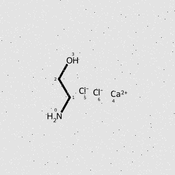 NCCO.[Ca+2].[Cl-].[Cl-]